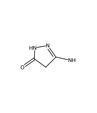 [NH]C1=NNC(=O)C1